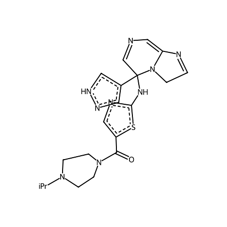 CC(C)N1CCN(C(=O)c2cnc(NC3(c4cn[nH]c4)C=NC=C4N=CCN43)s2)CC1